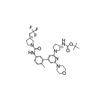 Cc1ccc(NC(=O)N2CC[C@@H](CC(F)(F)F)C2)cc1-c1cc(N2CCOCC2)nc(N2CC[C@H](NC(=O)OC(C)(C)C)C2)c1